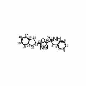 C[C@@](N)(Cc1ccccc1)c1nnc(C2Cc3ccccc3C2)o1